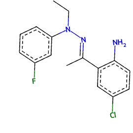 CCN(/N=C(\C)c1cc(Cl)ccc1N)c1cccc(F)c1